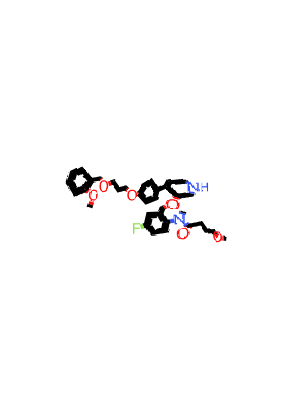 COCCCC(=O)N(C)c1ccc(F)cc1COC1CNCCC1c1ccc(OCCCOCc2ccccc2OC)cc1